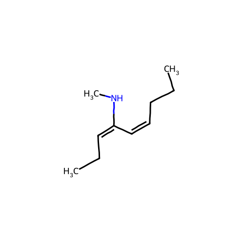 CC/C=C(\C=C/CCC)NC